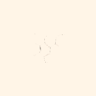 CCCCOC(=O)c1cc(CCCC)c(N)c(CC)c1OC(C)=O.Cl